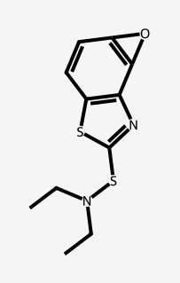 CCN(CC)Sc1nc2c3c(ccc2s1)O3